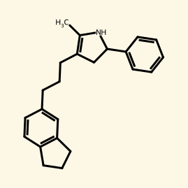 CC1=C(CCCc2ccc3c(c2)CCC3)CC(c2ccccc2)N1